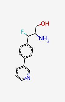 NC(CO)C(F)c1ccc(-c2cccnc2)cc1